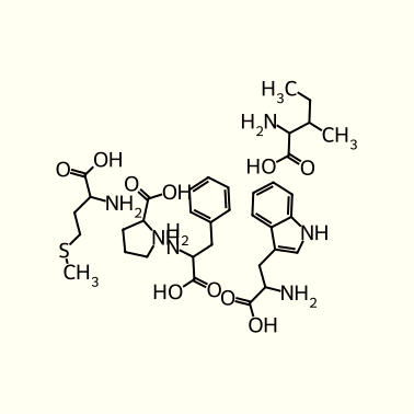 CCC(C)C(N)C(=O)O.CSCCC(N)C(=O)O.NC(Cc1c[nH]c2ccccc12)C(=O)O.NC(Cc1ccccc1)C(=O)O.O=C(O)C1CCCN1